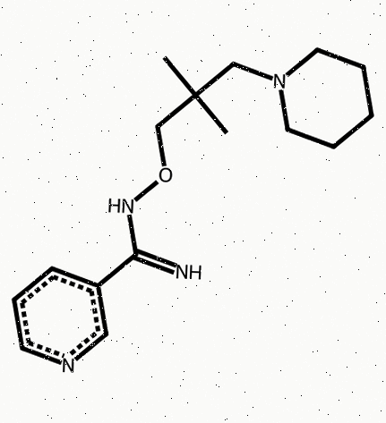 CC(C)(CONC(=N)c1cccnc1)CN1CCCCC1